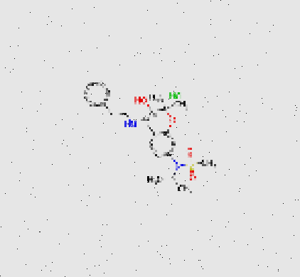 CC(C)N(c1ccc2c(c1)OC(C)(C)[C@H](O)[C@H]2NCCc1ccccc1)S(C)(=O)=O.Cl